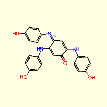 O=C1C=C(Nc2ccc(O)cc2)/C(=N\c2ccc(O)cc2)C=C1Nc1ccc(O)cc1